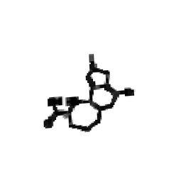 O=C(O)[C@@H]1CCCC2CC(Br)=C3CN(I)C=C3C2N1